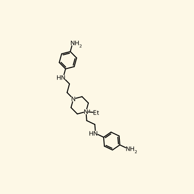 CC[N+]1(CCNc2ccc(N)cc2)CCN(CCNc2ccc(N)cc2)CC1